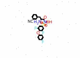 N#Cc1cccc(C[C@@H](N)C(=O)N(O)S(=O)(=O)c2cc(F)c(Oc3ccc(F)cc3)c(F)c2)c1